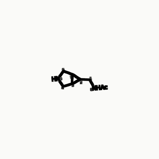 CC(=O)NCC1C2CNCC21